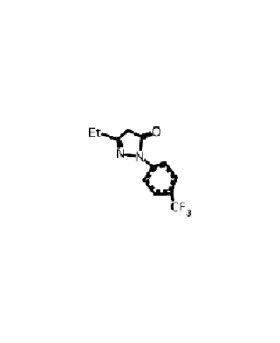 CCC1=NN(c2ccc(C(F)(F)F)cc2)C(=O)C1